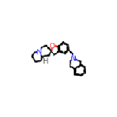 c1ccc2c(c1)CCN(Cc1ccc3c(c1)C[C@@]1(CCN4CCCC[C@H]4C1)O3)C2